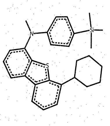 CN(c1ccc([Si](C)(C)C)cc1)c1cccc2c1sc1c(C3CCCCC3)cccc12